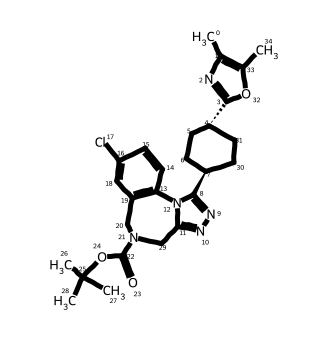 Cc1nc([C@H]2CC[C@H](c3nnc4n3-c3ccc(Cl)cc3CN(C(=O)OC(C)(C)C)C4)CC2)oc1C